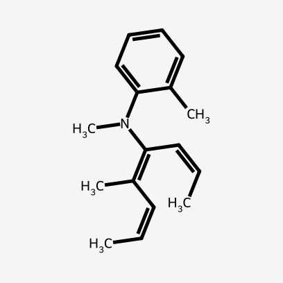 C\C=C/C(C)=C(\C=C/C)N(C)c1ccccc1C